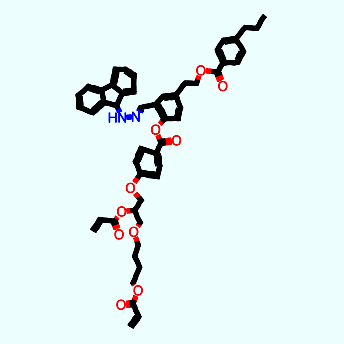 C=CC(=O)OCCCCOCC(COc1ccc(C(=O)Oc2ccc(CCOC(=O)c3ccc(CCC)cc3)cc2/C=N/NC2c3ccccc3-c3ccccc32)cc1)OC(=O)C=C